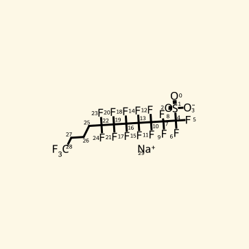 O=S(=O)([O-])C(F)(F)C(F)(F)C(F)(F)C(F)(F)C(F)(F)C(F)(F)C(F)(F)CCCC(F)(F)F.[Na+]